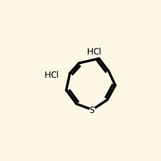 Cl.Cl.c1ccccsccc1